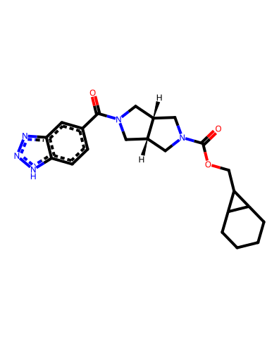 O=C(OCC1C2CCCCC21)N1C[C@@H]2CN(C(=O)c3ccc4[nH]nnc4c3)C[C@@H]2C1